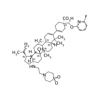 C=C(C)[C@@H]1CC[C@]2(NCCN3CCS(=O)(=O)CC3)CC[C@]3(C)[C@H](CCC4[C@@]5(C)CC=C(C6=CC[C@@](COc7cccc(F)n7)(C(=O)O)CC6)C(C)(C)[C@@H]5CC[C@]43C)[C@@H]12